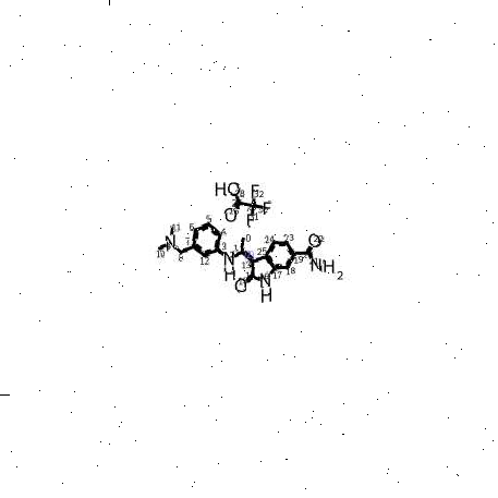 C/C(Nc1cccc(CN(C)C)c1)=C1/C(=O)Nc2cc(C(N)=O)ccc21.O=C(O)C(F)(F)F